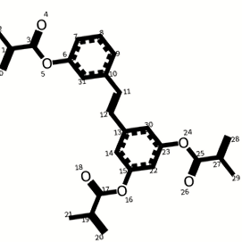 C=C(C)C(=O)Oc1cccc(/C=C/c2cc(OC(=O)C(=C)C)cc(OC(=O)C(=C)C)c2)c1